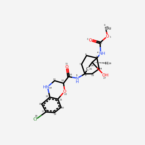 CC(C)(C)OC(=O)NC12CCC(NC(=O)C3CNc4cc(Cl)ccc4O3)(CC1)C[C@@H]2O